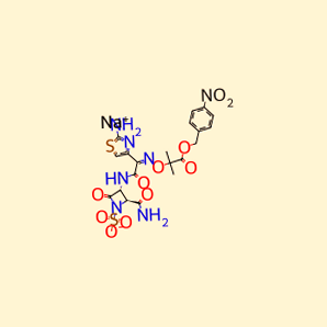 CC(C)(ON=C(C(=O)N[C@H]1C(=O)N(S(=O)(=O)[O-])[C@@H]1C(N)=O)c1csc(N)n1)C(=O)OCc1ccc([N+](=O)[O-])cc1.[Na+]